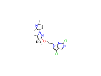 Cc1ccc(-n2nc(OCCCn3cc(Cl)c4cnc(Cl)nc43)c([N+](=O)[O-])c2C)c(C)n1